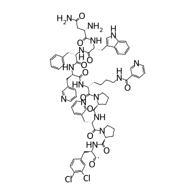 NC(=O)C[C@H](N)C(=O)N[C@H](Cc1c[nH]c2ccccc12)C(=O)N[C@@H](Cc1ccccc1)C(=O)N[C@H](Cc1cccnc1)C(=O)N[C@H](CCCCNC(=O)c1cccnc1)C(=O)N1CCC[C@H]1C(=O)N[C@@H](Cc1cccnc1)C(=O)N1CCC[C@H]1C(=O)N[C@@H]([C]=O)Cc1ccc(Cl)c(Cl)c1